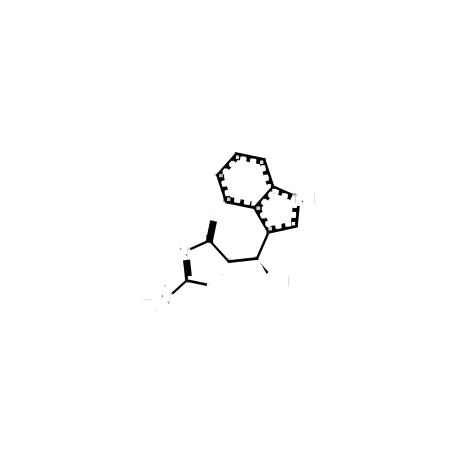 C[C@H](c1c[nH]c2ccccc12)[C@@H]1OC(N)=NC1=O